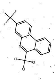 FC(F)(F)c1ccc2c(c1)nc(C(Cl)(Cl)Cl)c1ccccc12